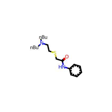 CCCCN(CCCC)CCSCC(=O)Nc1ccccc1